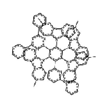 Cc1ccc2c(c1)c1ccccc1n2-c1c(-c2cccc(-c3ccccc3)n2)c(-n2c3ccccc3c3cc(C)ccc32)c(-n2c3ccccc3c3cc(C)ccc32)c(-n2c3ccccc3c3cc(C)ccc32)c1-c1nc(-c2ccccc2)cc(-c2ccccc2)n1